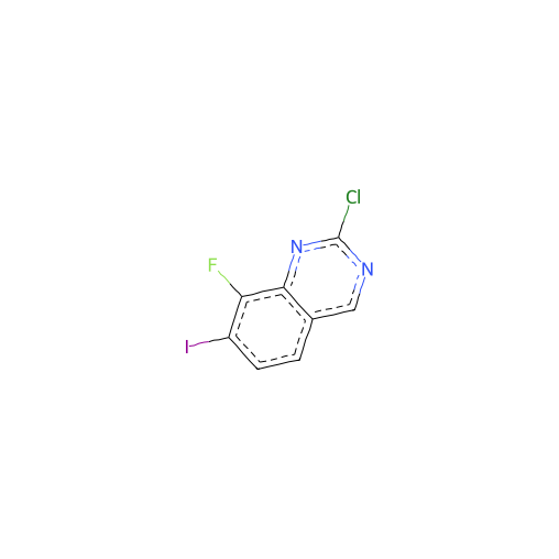 Fc1c(I)ccc2cnc(Cl)nc12